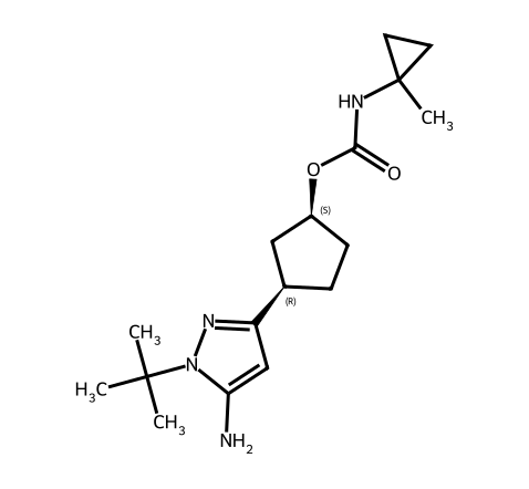 CC1(NC(=O)O[C@H]2CC[C@@H](c3cc(N)n(C(C)(C)C)n3)C2)CC1